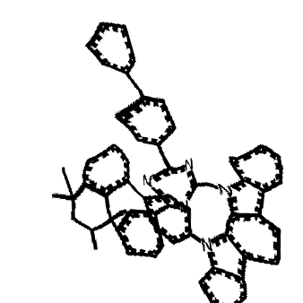 CC1CC(C)(C)c2cccc(-c3ccc(-n4c5ccccc5c5ccc6c7ccccc7n(-c7nc(-c8ccccc8)nc(-c8ccc(-c9ccccc9)cc8)n7)c6c54)cc3)c2C1(C)C